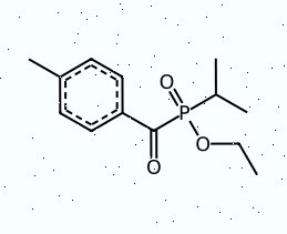 CCOP(=O)(C(=O)c1ccc(C)cc1)C(C)C